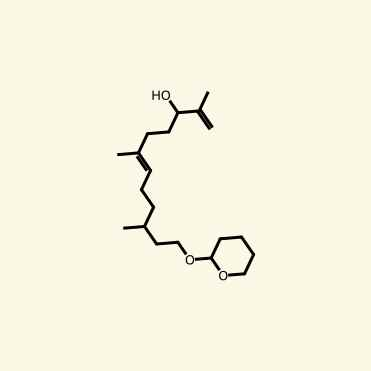 C=C(C)C(O)CC/C(C)=C/CCC(C)CCOC1CCCCO1